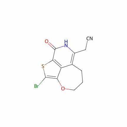 N#CCc1[nH]c(=O)c2sc(Br)c3c2c1CCCO3